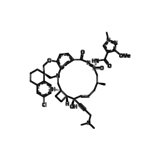 COc1nn(C)cc1C(=O)N[S@@]1(=O)=NC(=O)c2ccc3c(c2)N(C[C@@H]2CC[C@H]2[C@@](O)(C#CCN(C)C)/C=C/C[C@H](C)C1)C[C@@]1(CCCc2cc(Cl)ccc21)CO3